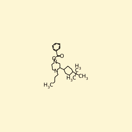 CCCCN1CCN(OC(=O)c2ccccc2)CC1C1CCC(C(C)(C)C)CC1